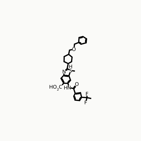 C[SH]1C(C2CCC(COCc3ccccc3)CC2)=Nc2cc(C(=O)O)c(NC(=O)c3cccc(C(C)(F)F)c3)cc21